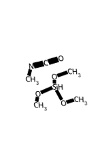 CN=C=O.CO[SiH](OC)OC